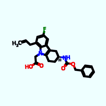 C=CCc1cc(F)cc2c3c(n(CC(=O)O)c12)CC[C@H](NC(=O)OCc1ccccc1)C3